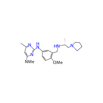 CNc1cc(C)nc(Nc2ccc(OC)c(CN[C@H](C)CN3CCCC3)c2)n1